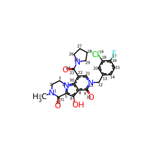 CN1CCn2c(c(O)c3c(=O)n(Cc4ccc(F)c(Cl)c4)cc(C(=O)N4CCCC4)c32)C1=O